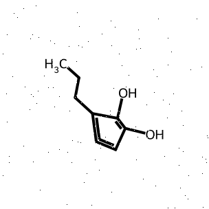 CCCC1=C=CC(O)=C1O